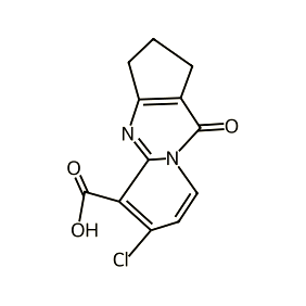 O=C(O)c1c(Cl)ccn2c(=O)c3c(nc12)CCC3